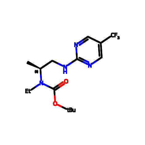 CCN(C(=O)OC(C)(C)C)[C@@H](C)CNc1ncc(C(F)(F)F)cn1